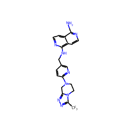 Nc1nccc2c(NCc3ccc(N4CCn5c(nnc5C(F)(F)F)C4)nc3)nccc12